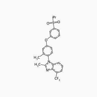 Cc1cc(Oc2cccc(S(=O)(=O)C(C)C)c2)ccc1-n1c(C)nc2c(C(F)(F)F)cccc21